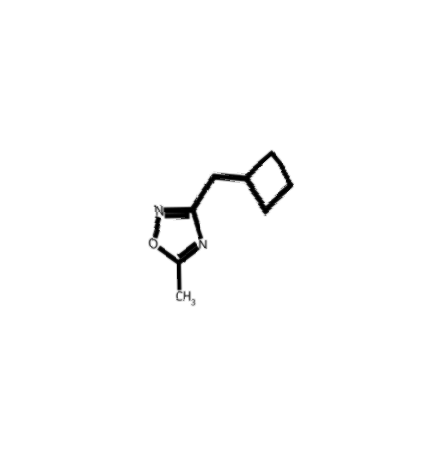 Cc1nc(CC2CCC2)no1